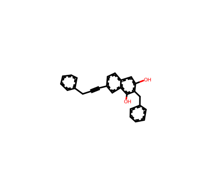 Oc1cc2ccc(C#CCc3ccccc3)cc2c(O)c1Cc1ccccc1